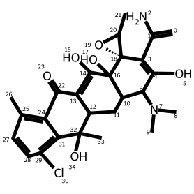 C=C(N)C1=C(O)C(N(C)C)C2CC3C(=C(O)C2(O)[C@]12OC2C)C(=O)c1c(C)ccc(Cl)c1C3(C)O